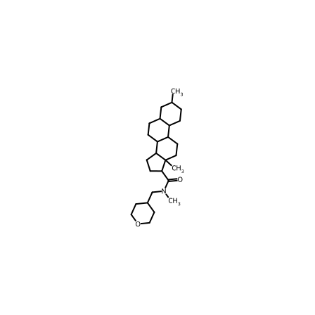 CC1CCC2C(CCC3C2CCC2(C)C(C(=O)N(C)CC4CCOCC4)CCC32)C1